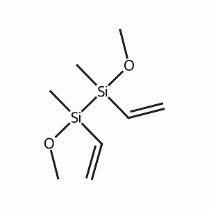 C=C[Si](C)(OC)[Si](C)(C=C)OC